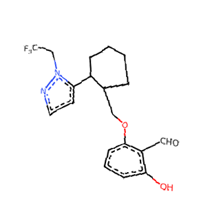 O=Cc1c(O)cccc1OCC1CCCCC1c1ccnn1CC(F)(F)F